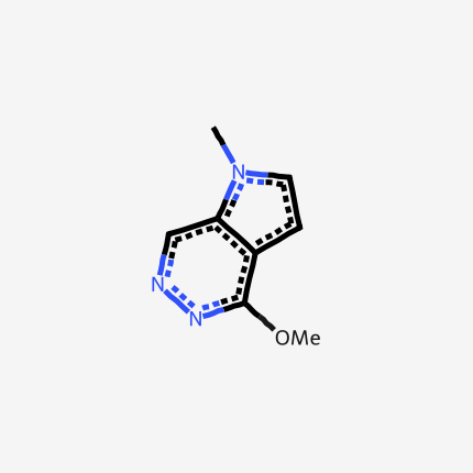 COc1nncc2c1ccn2C